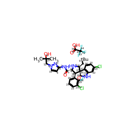 CC(C)(C)C[C@@H]1N[C@@H](C(=O)Nc2ccn(CC(C)(C)O)n2)[C@H](c2cccc(Cl)c2F)[C@]12C(=O)Nc1cc(Cl)ccc12.O=C(O)C(F)(F)F